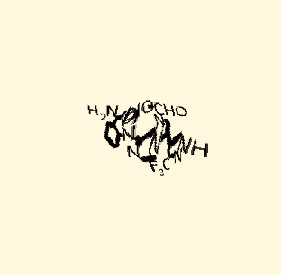 NC(=O)c1ccccc1Nc1nccn2c(-c3c[nH]nc3C(F)(F)F)cnc12.O=CO